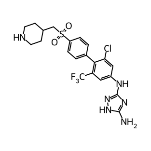 Nc1nc(Nc2cc(Cl)c(-c3ccc(S(=O)(=O)CC4CCNCC4)cc3)c(C(F)(F)F)c2)n[nH]1